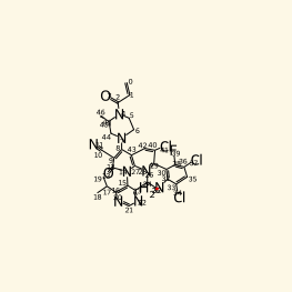 C=CC(=O)N1CCN(c2c(C#N)c(=O)n(-c3c(C(C)C)ncnc3C(C)C)c3nc(-c4c(N)c(Cl)cc(Cl)c4F)c(Cl)cc23)C[C@H]1C